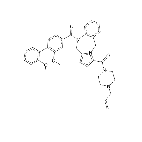 C=CCN1CCN(C(=O)c2ccc3n2Cc2ccccc2N(C(=O)c2ccc(-c4ccccc4OC)c(OC)c2)C3)CC1